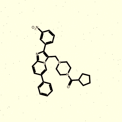 O=C(C1CCCC1)N1CCN(Cc2c(-c3cccc([N+](=O)[O-])c3)nc3ccc(-c4ccccc4)cn23)CC1